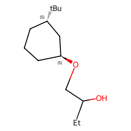 CCC(O)CO[C@H]1CCC[C@H](C(C)(C)C)C1